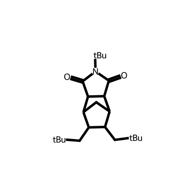 CC(C)(C)CC1C(CC(C)(C)C)C2CC1C1C(=O)N(C(C)(C)C)C(=O)C21